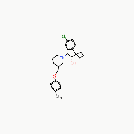 O[C@H](CN1CCCC(COc2ccc(C(F)(F)F)cc2)C1)C1(c2ccc(Cl)cc2)CCC1